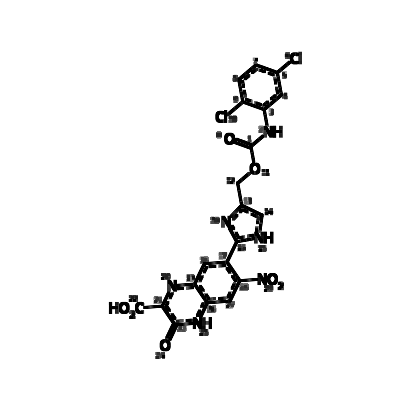 O=C(Nc1cc(Cl)ccc1Cl)OCc1c[nH]c(-c2cc3nc(C(=O)O)c(=O)[nH]c3cc2[N+](=O)[O-])n1